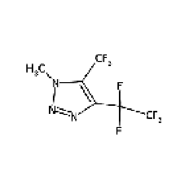 Cn1nnc(C(F)(F)C(F)(F)F)c1C(F)(F)F